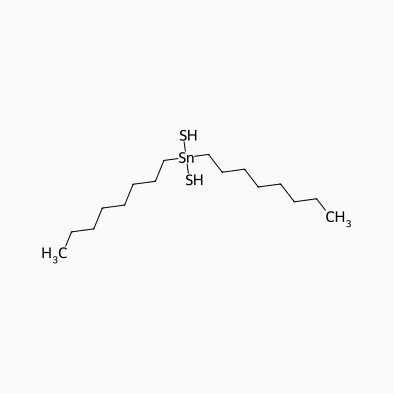 CCCCCCC[CH2][Sn]([SH])([SH])[CH2]CCCCCCC